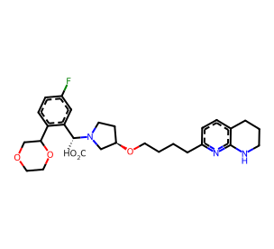 O=C(O)[C@H](c1cc(F)ccc1C1COCCO1)N1CC[C@@H](OCCCCc2ccc3c(n2)NCCC3)C1